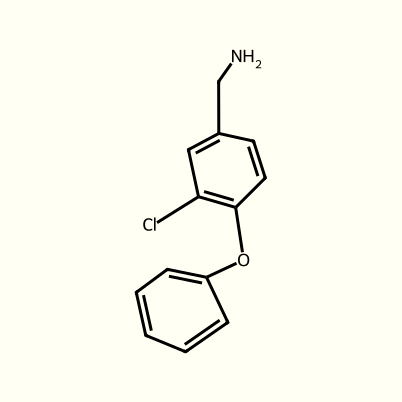 NCc1ccc(Oc2ccccc2)c(Cl)c1